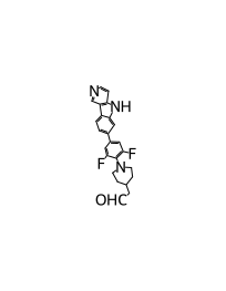 O=CCC1CCN(c2c(F)cc(-c3ccc4c(c3)[nH]c3ccncc34)cc2F)CC1